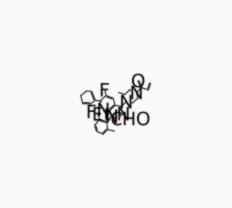 C=CC(=O)N1CCN(/C(=N/C)c2cc(F)c(C3=CCCC=C3F)nc2N(C=O)c2c(C)cccc2CC)C(C)C1